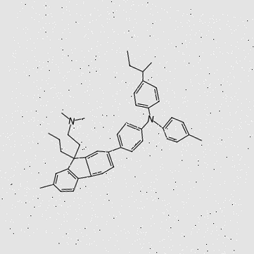 CCCC1(CCN(C)C)c2cc(C)ccc2-c2ccc(-c3ccc(N(c4ccc(C)cc4)c4ccc(C(C)CC)cc4)cc3)cc21